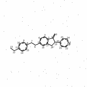 C=C1c2ccc(CCc3ccc(CC)cc3)cc2CC1c1ccncc1